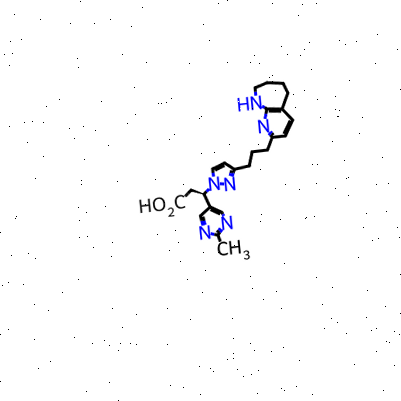 Cc1ncc([C@@H](CC(=O)O)n2ccc(CCCc3ccc4c(n3)NCCCC4)n2)cn1